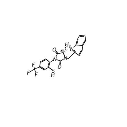 C[C@@H]1C(=O)N(c2ccc(C(F)(F)F)cc2S)C(=O)N1Cc1ccc2ccccc2n1